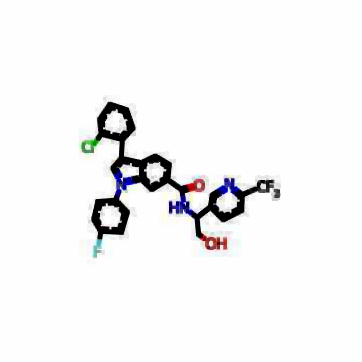 O=C(NC(CO)c1ccc(C(F)(F)F)nc1)c1ccc2c(-c3ccccc3Cl)cn(-c3ccc(F)cc3)c2c1